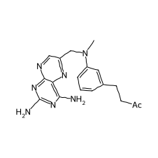 CC(=O)CCc1cccc(N(C)Cc2cnc3nc(N)nc(N)c3n2)c1